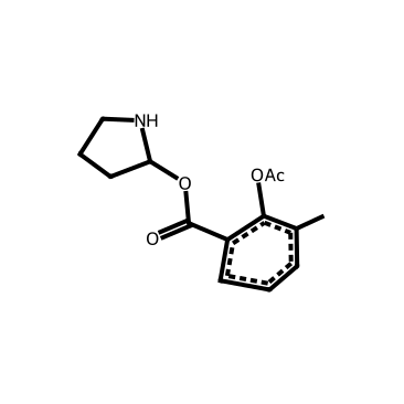 CC(=O)Oc1c(C)cccc1C(=O)OC1CCCN1